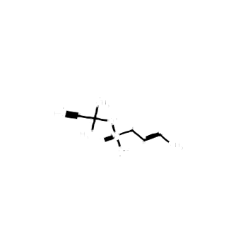 C#CC(C)(C)OP(=O)(O)CC=CC